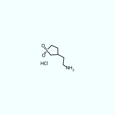 Cl.NCCC1CCS(=O)(=O)C1